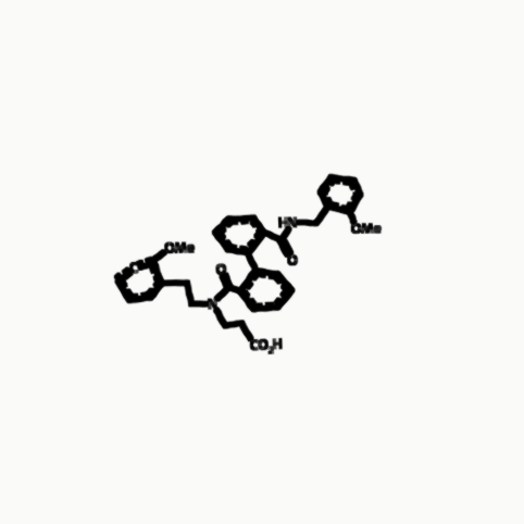 COc1ccccc1CCN(CCC(=O)O)C(=O)c1ccccc1-c1ccccc1C(=O)NCc1ccccc1OC